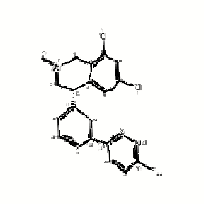 CN1Cc2c(Cl)cc(Cl)cc2[C@H](c2cccc(-c3ccc(F)nc3)c2)C1